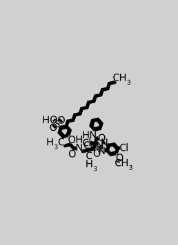 CCCCCCCCCCCCCCCc1cc(OC(CC)C(=O)NCC(C)(C)C(=O)C(Cl)(C(=O)Nc2ccccc2)n2nc3cc(Cl)c(OC)cc3n2)ccc1S(=O)(=O)O